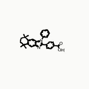 CC1(C)CCC(C)(C)c2cc3c(cc21)nc(-c1ccc(C(=O)O)cc1)n3-c1ccccc1